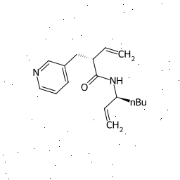 C=C[C@H](CCCC)NC(=O)[C@@H](C=C)Cc1cccnc1